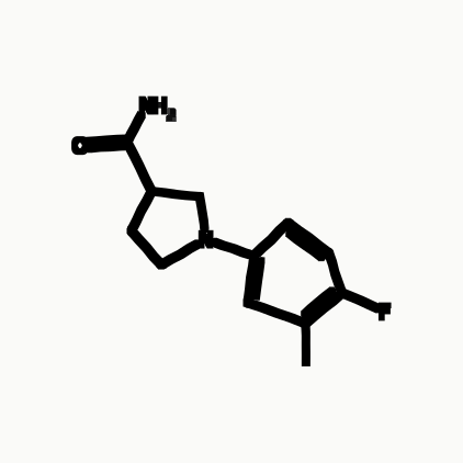 Cc1cc(N2CCC(C(N)=O)C2)ccc1F